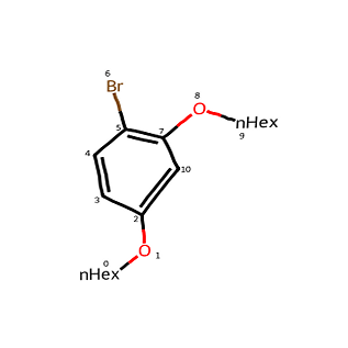 CCCCCCOc1ccc(Br)c(OCCCCCC)c1